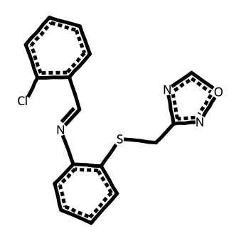 Clc1ccccc1/C=N/c1ccccc1SCc1ncon1